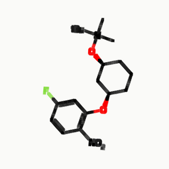 CC(C)(C)[Si](C)(C)O[C@H]1CCC[C@@H](Oc2cc(F)ccc2[N+](=O)[O-])C1